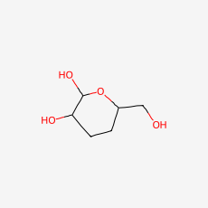 OCC1CCC(O)C(O)O1